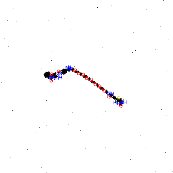 O=C(CCCC[C@@H]1SC[C@@H]2NC(=O)N[C@@H]21)NCCOCCOCCOCCOCCOCCOCCOCCOCCn1cc(-c2ccc(NC(=O)N3CCC4(CC3)NC(=O)N(Cc3ccccc3)C4=O)cc2)nn1